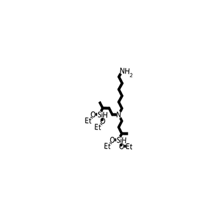 CCO[SiH](OCC)C(C)CCN(CCCCCCN)CCC(C)[SiH](OCC)OCC